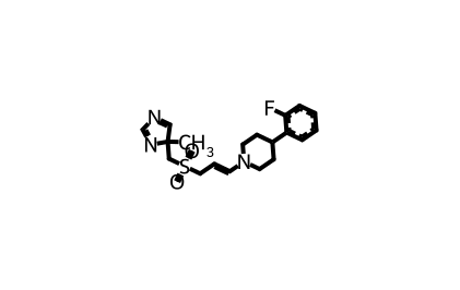 CC1(CS(=O)(=O)CC=CN2CCC(c3ccccc3F)CC2)C=NC=N1